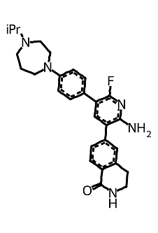 CC(C)N1CCCN(c2ccc(-c3cc(-c4ccc5c(c4)CCNC5=O)c(N)nc3F)cc2)CC1